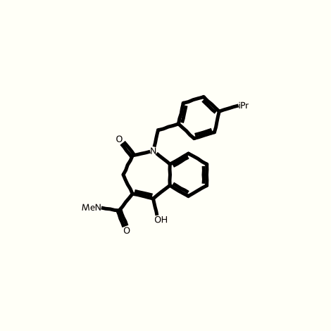 CNC(=O)C1=C(O)c2ccccc2N(Cc2ccc(C(C)C)cc2)C(=O)C1